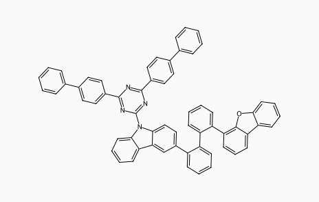 c1ccc(-c2ccc(-c3nc(-c4ccc(-c5ccccc5)cc4)nc(-n4c5ccccc5c5cc(-c6ccccc6-c6ccccc6-c6cccc7c6oc6ccccc67)ccc54)n3)cc2)cc1